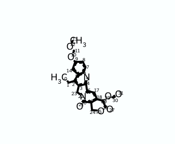 CCc1c2c(nc3ccc(OCOC)cc13)-c1cc3c(c(=O)n1C2)COC(=O)[C@H]3OC=O